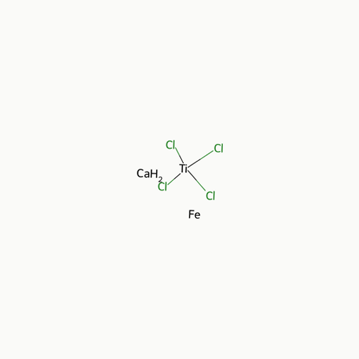 [CaH2].[Cl][Ti]([Cl])([Cl])[Cl].[Fe]